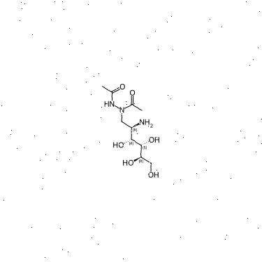 CC(=O)NN(C[C@@H](N)[C@@H](O)[C@H](O)[C@H](O)CO)C(C)=O